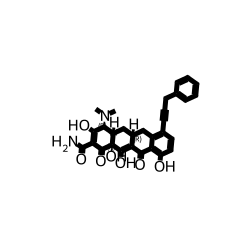 CN(C)[C@H]1C(O)=C(C(N)=O)C(=O)[C@]2(O)C(O)=C3C(=O)c4c(O)ccc(C#CCc5ccccc5)c4C[C@H]3C[C@@H]12